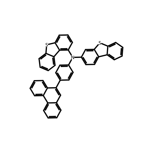 c1ccc2c(c1)cc(-c1ccc(N(c3ccc4c(c3)sc3ccccc34)c3cccc4sc5ccccc5c34)cc1)c1ccccc12